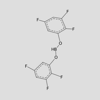 Fc1cc(F)c(F)c(OBOc2cc(F)cc(F)c2F)c1